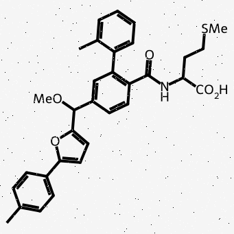 COC(c1ccc(C(=O)NC(CCSC)C(=O)O)c(-c2ccccc2C)c1)c1ccc(-c2ccc(C)cc2)o1